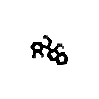 CC(=O)CC(c1cccc(Cl)c1F)c1ccc2ccccc2c1C